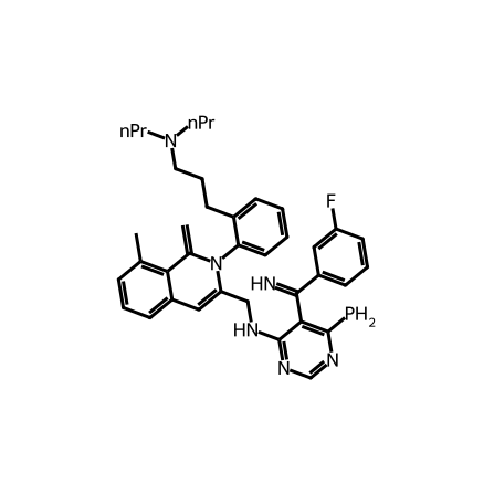 C=C1c2c(C)cccc2C=C(CNc2ncnc(P)c2C(=N)c2cccc(F)c2)N1c1ccccc1CCCN(CCC)CCC